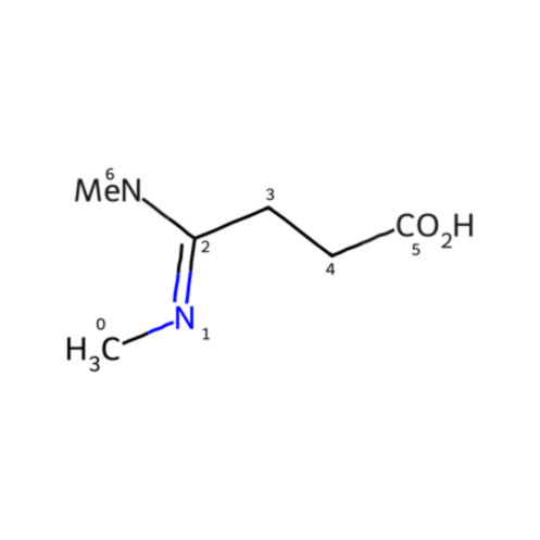 CN=C(CCC(=O)O)NC